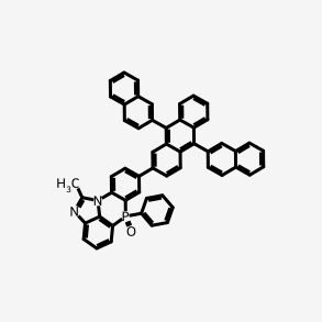 Cc1nc2cccc3c2n1-c1ccc(-c2ccc4c(-c5ccc6ccccc6c5)c5ccccc5c(-c5ccc6ccccc6c5)c4c2)cc1P3(=O)c1ccccc1